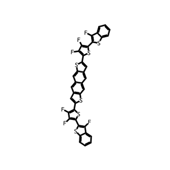 Fc1c(-c2cc3cc4cc5sc(-c6sc(-c7sc8ccccc8c7F)c(F)c6F)cc5cc4cc3s2)sc(-c2sc3ccccc3c2F)c1F